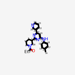 CCC(=O)N1CCCC(c2nc(Nc3ccc(C)cc3)cc(-c3cccnc3)n2)C1